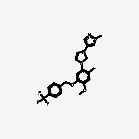 [CH2]c1cc(OC)c(OCc2ccc(C(F)(F)F)cc2)cc1N1C=CN(c2cnn(C)c2)C1